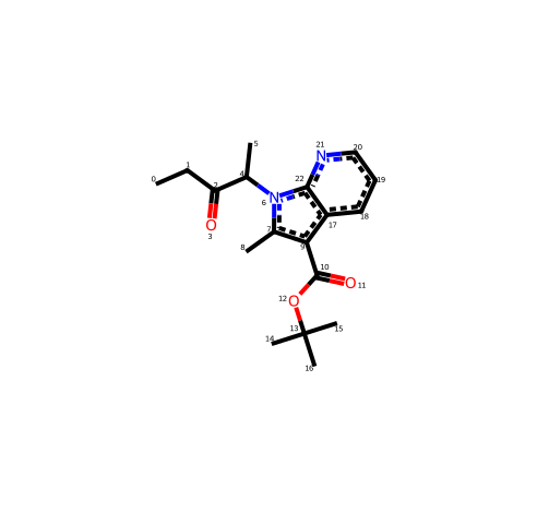 CCC(=O)C(C)n1c(C)c(C(=O)OC(C)(C)C)c2cccnc21